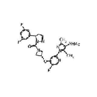 CC(=O)Nc1c(C)nn(-c2cc(OC3CN(C(=O)N4N=CCC4c4cc(F)cc(F)c4)C3)c(F)cn2)c1C